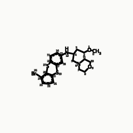 COCCC(CN1CCOCC1)Nc1ccc2c(c1)Sc1cccc(Br)c1S2